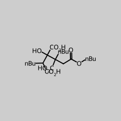 CCCCOC(=O)CC(CCCC)(C(=O)O)C(O)(C(=O)O)C(CCCC)C(=O)O